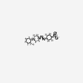 Cc1ccccc1N1CCN(N=Nc2ccc([N+](=O)[O-])cc2)CC1